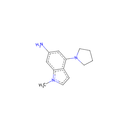 Cn1ccc2c(N3CCCC3)cc(N)cc21